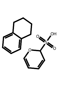 O=S(=O)(O)C1C=CC=CO1.c1ccc2c(c1)CCCC2